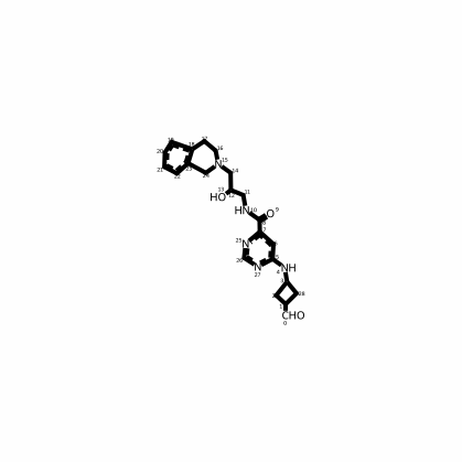 O=CC1CC(Nc2cc(C(=O)NCC(O)CN3CCc4ccccc4C3)ncn2)C1